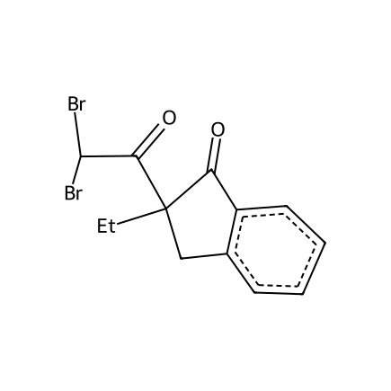 CCC1(C(=O)C(Br)Br)Cc2ccccc2C1=O